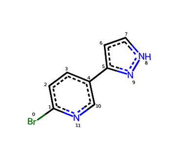 Brc1ccc(-c2cc[nH]n2)cn1